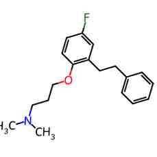 CN(C)CCCOc1ccc(F)cc1CCc1ccccc1